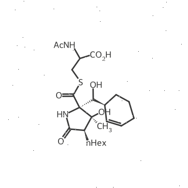 CCCCCC[C@H]1C(=O)N[C@](C(=O)SCC(NC(C)=O)C(=O)O)(C(O)[C@@H]2C=CCCC2)[C@@]1(C)O